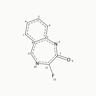 O=c1nc2ccccc2cnc1F